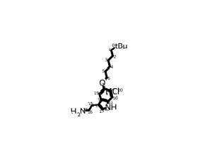 CC(C)(C)CCCCCCOc1ccc2[nH]cc(CCN)c2c1.Cl